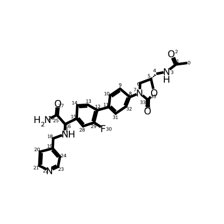 CC(=O)NC[C@H]1CN(c2ccc(-c3ccc(C(NCc4ccncc4)C(N)=O)cc3F)cc2)C(=O)O1